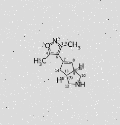 Cc1noc(C)c1C1=C[C@H]2CNC[C@H]2C1